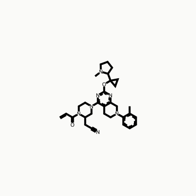 C=CC(=O)N1CCN(c2nc(OC3(C4CCCN4C)CC3)nc3c2CCN(c2ccccc2C)C3)CC1CC#N